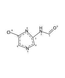 O=CNc1cncc(Cl)n1